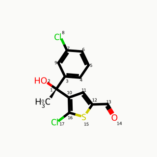 C[C@@](O)(c1cccc(Cl)c1)c1cc(C=O)sc1Cl